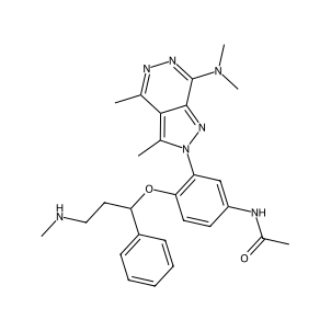 CNCCC(Oc1ccc(NC(C)=O)cc1-n1nc2c(N(C)C)nnc(C)c2c1C)c1ccccc1